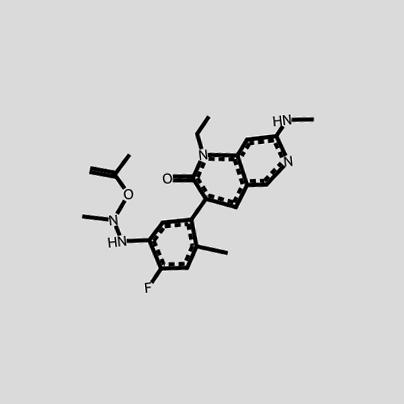 C=C(C)ON(C)Nc1cc(-c2cc3cnc(NC)cc3n(CC)c2=O)c(C)cc1F